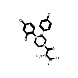 C[C@@H](O)[C@H](N)C(=O)N1CCN(c2ccc(Cl)cc2Cl)[C@H](c2ccc(Cl)cc2)C1